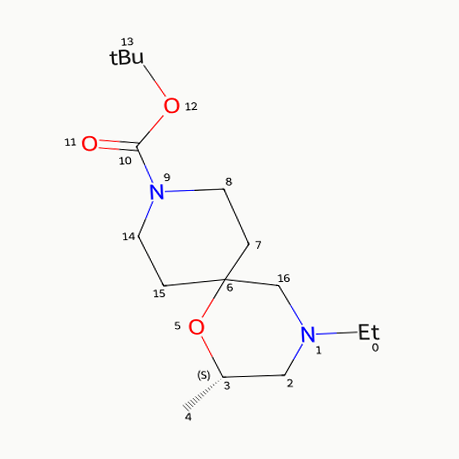 CCN1C[C@H](C)OC2(CCN(C(=O)OC(C)(C)C)CC2)C1